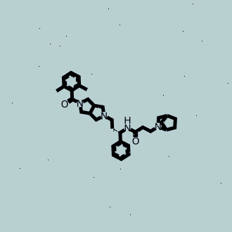 Cc1cccc(C)c1C(=O)N1CC2CN(CC[C@H](NC(=O)CCN3CC4CCC3C4)c3ccccc3)CC2C1